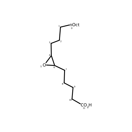 CCCCCCCCCCCC1OC1CCCCC(=O)O